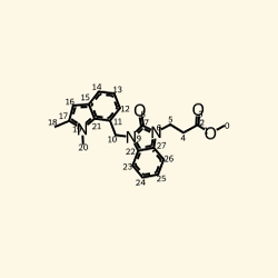 COC(=O)CCn1c(=O)n(Cc2cccc3cc(C)n(C)c23)c2ccccc21